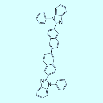 c1ccc(-n2c(-c3ccc4cc(-c5ccc6cc(-c7nc8ccccc8n7-c7ccccc7)ccc6c5)ccc4c3)nc3ccccc32)cc1